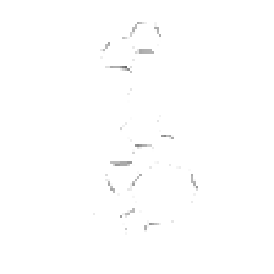 CCc1c2c(nn1C)COC/C=C\Cn1c(C(=O)O)c(CCCOc3cccc4ccccc34)c3cccc-2c31